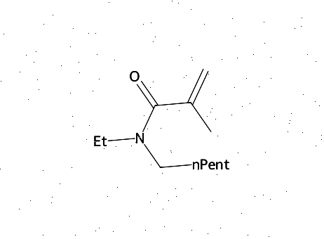 C=C(C)C(=O)N(CC)CCCCCC